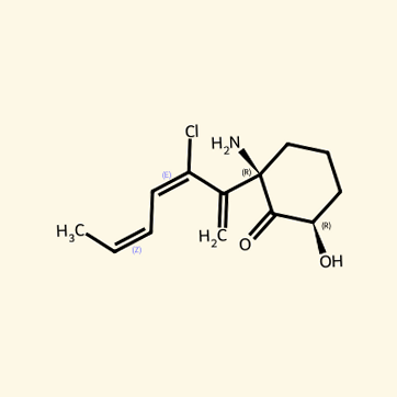 C=C(/C(Cl)=C\C=C/C)[C@]1(N)CCC[C@@H](O)C1=O